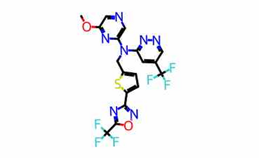 COc1cncc(N(Cc2ccc(-c3noc(C(F)(F)F)n3)s2)c2cc(C(F)(F)F)cnn2)n1